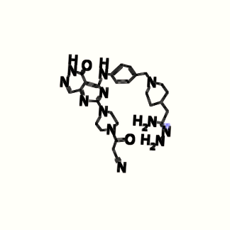 N#CCC(=O)N1CCN(c2nc(Nc3ccc(CN4CCC(C/C(N)=N/N)CC4)cc3)c3c(=O)[nH]ncc3n2)CC1